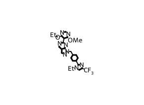 CCOc1ncnc(OC)c1-c1ncc2cnn(Cc3ccc(-c4nc(C(F)(F)F)cn4CC)cc3)c2n1